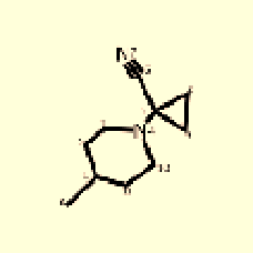 CC1CCN(C2(C#N)CC2)CC1